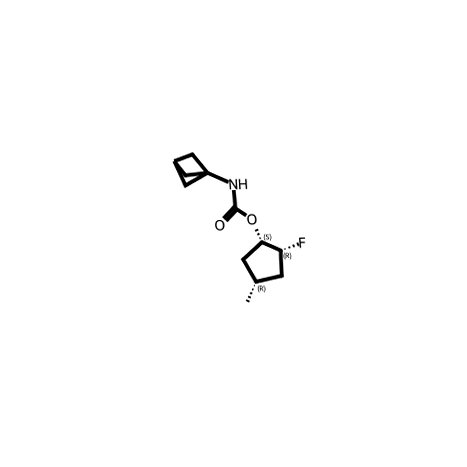 C[C@H]1C[C@@H](F)[C@@H](OC(=O)NC23CC(C2)C3)C1